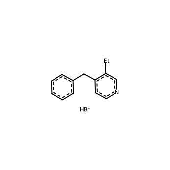 Br.CCc1cnccc1Cc1ccccc1